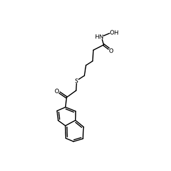 O=C(CCCCSCC(=O)c1ccc2ccccc2c1)NO